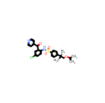 C=C(C)OCC(C)(C)c1ccc(S(=O)(=O)Nc2ccc(Cl)cc2C(=O)c2ccncc2)cc1